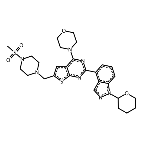 CS(=O)(=O)N1CCN(Cc2cc3c(N4CCOCC4)nc(-c4cccc5c4cnn5C4CCCCO4)nc3s2)CC1